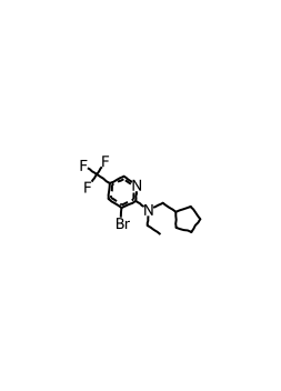 CCN(CC1CCCC1)c1ncc(C(F)(F)F)cc1Br